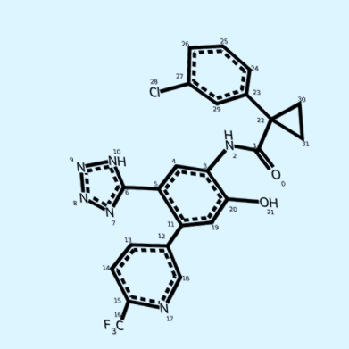 O=C(Nc1cc(-c2nnn[nH]2)c(-c2ccc(C(F)(F)F)nc2)cc1O)C1(c2cccc(Cl)c2)CC1